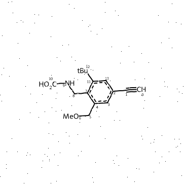 C#Cc1cc(COC)c(CNC(=O)O)c(C(C)(C)C)c1